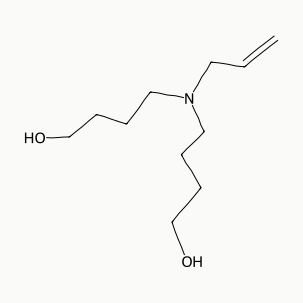 C=CCN(CCCCO)CCCCO